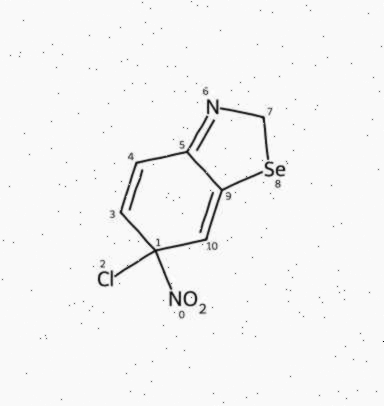 O=[N+]([O-])C1(Cl)C=CC2=NC[Se]C2=C1